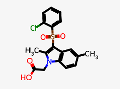 Cc1ccc2c(c1)c(S(=O)(=O)c1ccccc1Cl)c(C)n2CC(=O)O